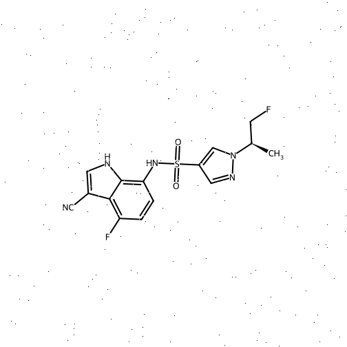 C[C@H](CF)n1cc(S(=O)(=O)Nc2ccc(F)c3c(C#N)c[nH]c23)cn1